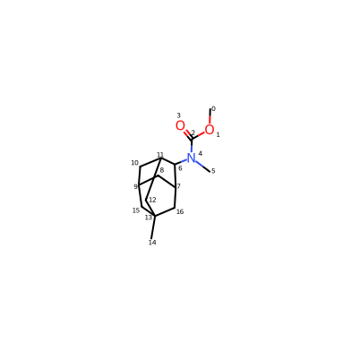 COC(=O)N(C)C1C2CC3CC1CC(C)(C3)C2